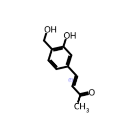 CC(=O)/C=C/c1ccc(CO)c(O)c1